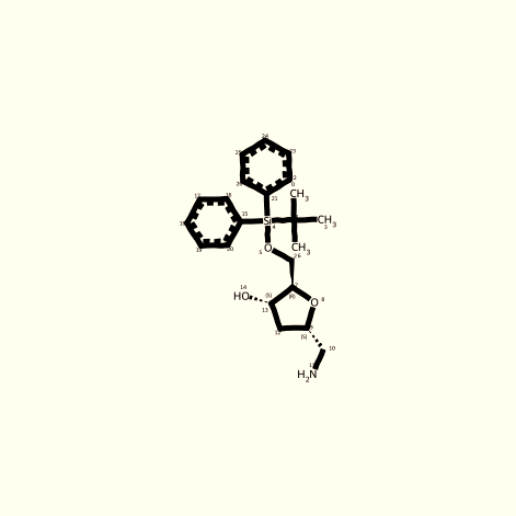 CC(C)(C)[Si](OC[C@H]1O[C@H](CN)C[C@@H]1O)(c1ccccc1)c1ccccc1